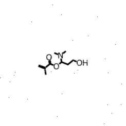 C=C(C)C(=O)OC(CCO)N(C)C